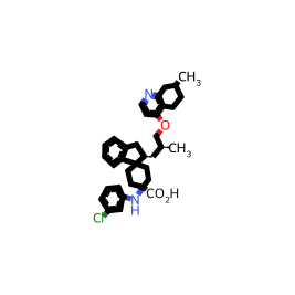 CC1CCc2c(OC[C@H](C)C[C@H]3Cc4ccccc4C34CCC(Nc3cccc(Cl)c3)(C(=O)O)CC4)ccnc2C1